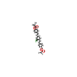 C=C(C)C(=O)OCc1ccc(/C=C/c2ccc(/C=C/c3ccc(OC(=O)C(=C)C)cc3)cc2F)cc1